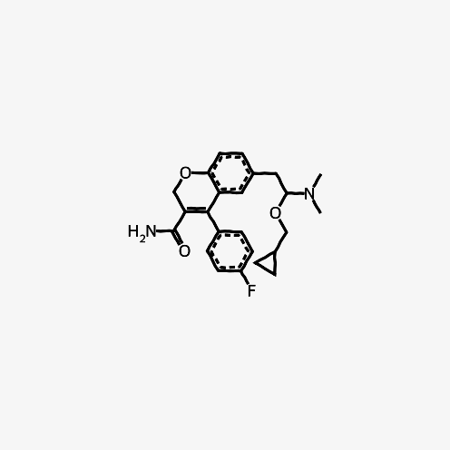 CN(C)C(Cc1ccc2c(c1)C(c1ccc(F)cc1)=C(C(N)=O)CO2)OCC1CC1